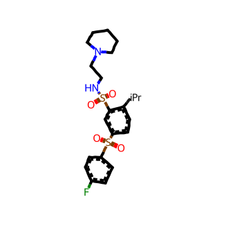 CC(C)c1ccc(S(=O)(=O)c2ccc(F)cc2)cc1S(=O)(=O)NCCN1CCCCC1